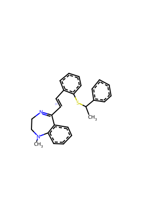 CC(Sc1ccccc1/C=C/C1=NCCN(C)c2ccccc21)c1ccccc1